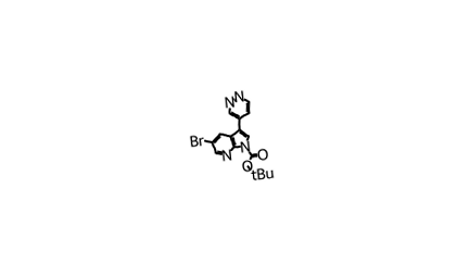 CC(C)(C)OC(=O)n1cc(-c2ccnnc2)c2cc(Br)cnc21